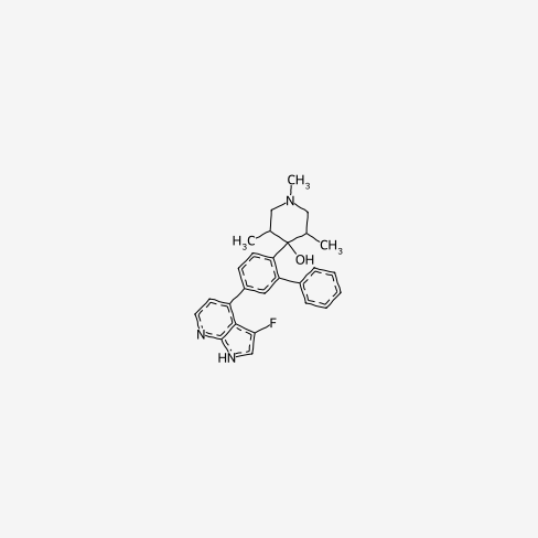 CC1CN(C)CC(C)C1(O)c1ccc(-c2ccnc3[nH]cc(F)c23)cc1-c1ccccc1